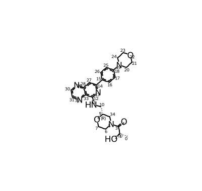 C[C@H](O)C(=O)N1CCO[C@H](CNc2nc(-c3ccc(N4CCOCC4)cc3)cc3nccnc23)C1